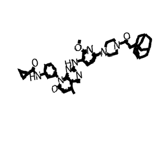 COc1nc(N2CCN(C(=O)CC34CC5CC(CC(C5)C3)C4)CC2)ccc1Nc1ncc2c(C)cc(=O)n(-c3cccc(NC(=O)C4CC4)c3)c2n1